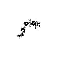 CC1Sc2ccc(C(=O)Nc3cccc(SNC4CCN(C(=O)OC(C)(C)C)CC4)c3)cc2NC1=O